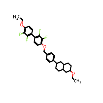 CCOc1ccc(-c2ccc(OCc3ccc(C4CCC5CC(OCC)CCC5C4)cc3)c(F)c2F)c(F)c1F